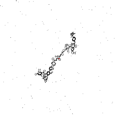 Cc1ncsc1-c1ccc(CNC(=O)[C@@H]2C[C@@H](O)CN2C(=O)[C@@H](NC(=O)COCCOCCNC(=O)CCC(=O)N2CCN(c3ccc(-c4cc(NC(=O)c5c[nH]c(=O)cc5C(F)(F)F)c(N5C[C@@H](C)N(C)[C@@H](C)C5)cc4F)cn3)CC2)C(C)(C)C)cc1